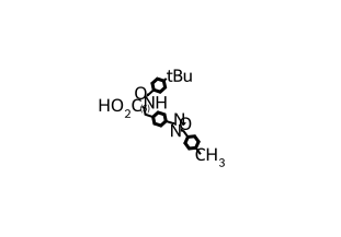 Cc1ccc(-c2nc(-c3ccc(C[C@H](NC(=O)c4ccc(C(C)(C)C)cc4)C(=O)O)cc3)no2)cc1